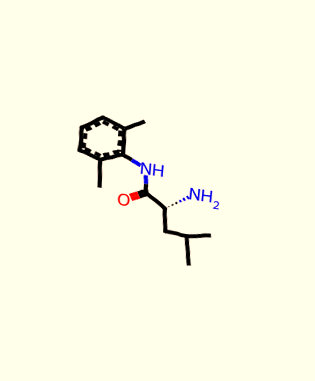 Cc1cccc(C)c1NC(=O)[C@H](N)CC(C)C